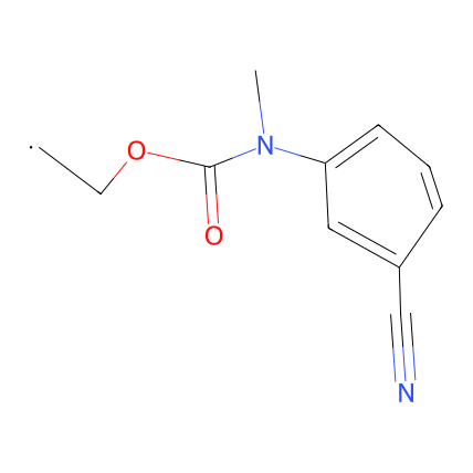 [CH2]COC(=O)N(C)c1cccc(C#N)c1